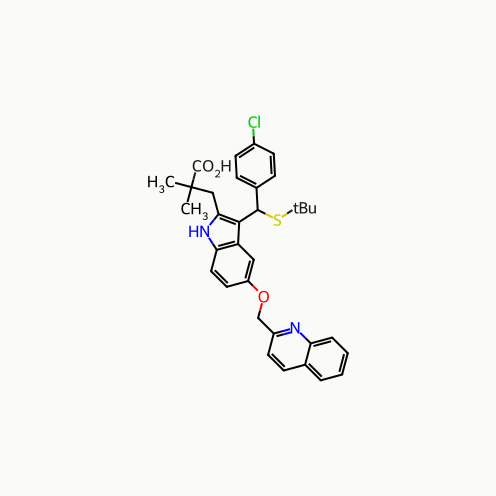 CC(C)(C)SC(c1ccc(Cl)cc1)c1c(CC(C)(C)C(=O)O)[nH]c2ccc(OCc3ccc4ccccc4n3)cc12